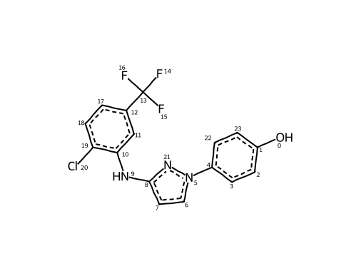 Oc1ccc(-n2ccc(Nc3cc(C(F)(F)F)ccc3Cl)n2)cc1